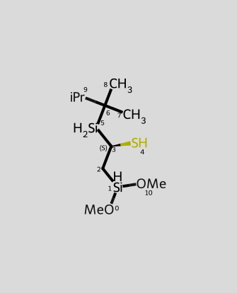 CO[SiH](C[C@H](S)[SiH2]C(C)(C)C(C)C)OC